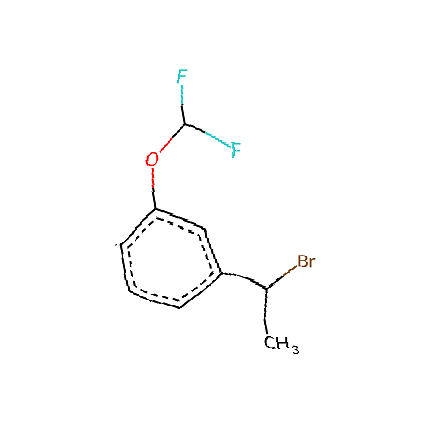 CC(Br)c1cc[c]c(OC(F)F)c1